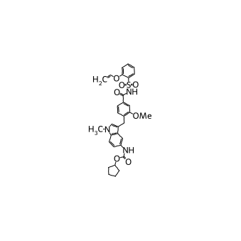 C=COc1ccccc1S(=O)(=O)NC(=O)c1ccc(Cc2cn(C)c3ccc(NC(=O)OC4CCCC4)cc23)c(OC)c1